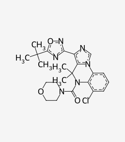 CC(C)(C)c1nc(-c2ncn3c2C(C)(C)N(C(=O)N2CCOCC2)c2c(Cl)cccc2-3)no1